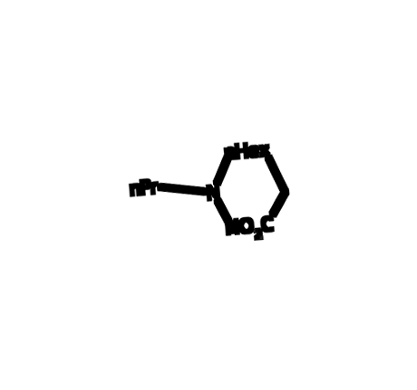 CCCCCCCC(=O)O.CCCN(C)C